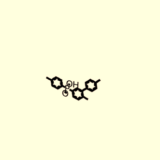 Cc1ccc(-c2cc(P(=O)(O)c3ccc(C)cc3)ccc2C)cc1